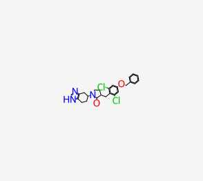 O=C1C(Cc2c(Cl)cc(OCc3ccccc3)cc2Cl)CCN1C1CCc2[nH]cnc2C1